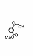 COC(=O)c1cccc(C2OC2CO)c1